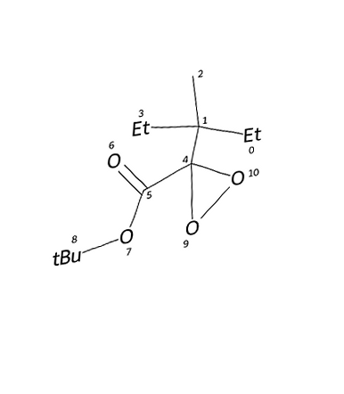 CCC(C)(CC)C1(C(=O)OC(C)(C)C)OO1